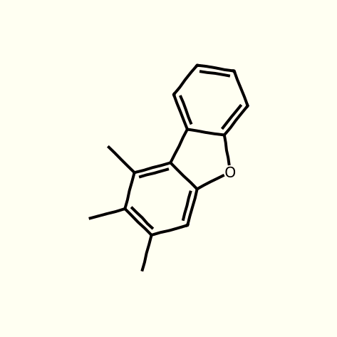 Cc1cc2oc3ccccc3c2c(C)c1C